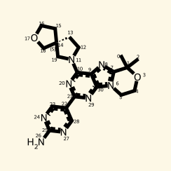 CC1(C)OCCn2c1nc1c(N3CC[C@]4(CCOC4)C3)nc(-c3cnc(N)nc3)nc12